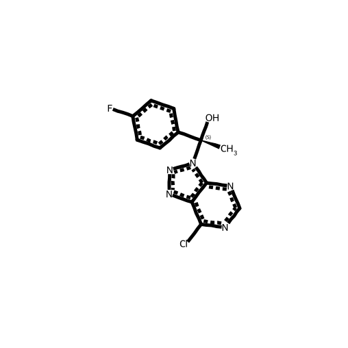 C[C@](O)(c1ccc(F)cc1)n1nnc2c(Cl)ncnc21